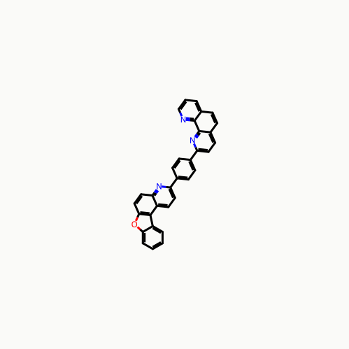 c1cnc2c(c1)ccc1ccc(-c3ccc(-c4ccc5c(ccc6oc7ccccc7c65)n4)cc3)nc12